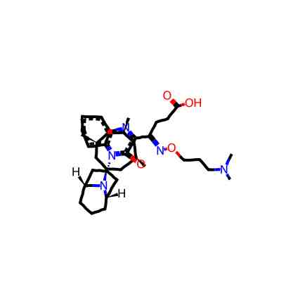 C[C@H]1C[C@@H](C)C[C@@H](N2[C@@H]3CCC[C@H]2C[C@@H](n2c(=O)c(/C(CCC(=O)O)=N/OCCCN(C)C)nc4ccccc42)C3)C[C@@H](C)C1